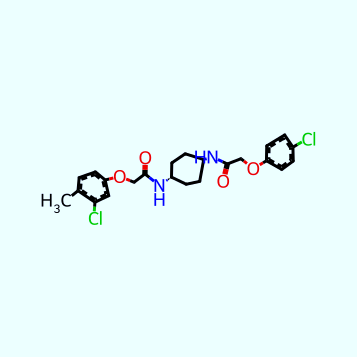 Cc1ccc(OCC(=O)N[C@H]2CC[C@H](NC(=O)COc3ccc(Cl)cc3)CC2)cc1Cl